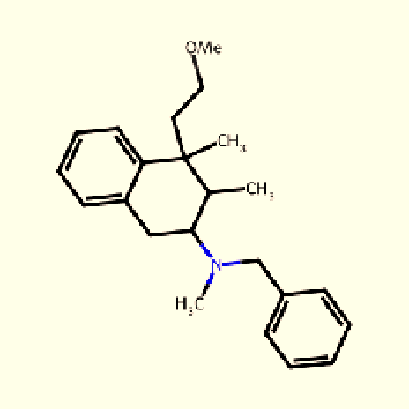 COCCC1(C)c2ccccc2CC(N(C)Cc2ccccc2)C1C